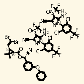 CC1(C)[C@H](C(=O)O[C@H](C#N)c2cccc(Oc3ccccc3)c2)[C@@H]1C=C(Br)Br.N#Cc1nn(-c2c(Cl)cc(C(F)(F)F)cc2Cl)c(N)c1[S+]([O-])C(F)(F)F.N#Cc1nn(-c2c(Cl)cc(C(F)(F)F)cc2Cl)c(N)c1[S+]([O-])C(F)(F)F